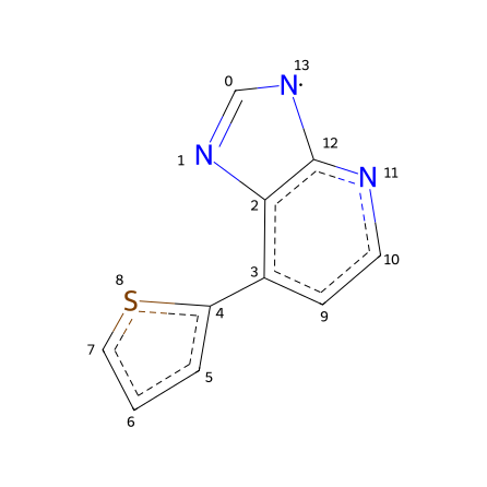 C1=Nc2c(-c3cccs3)ccnc2[N]1